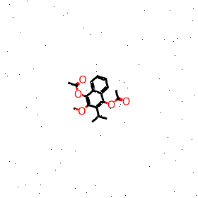 COc1c(C(C)C)c(OC(C)=O)c2ccccc2c1OC(C)=O